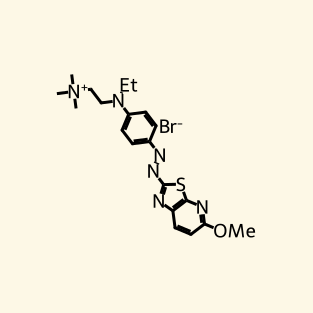 CCN(CC[N+](C)(C)C)c1ccc(N=Nc2nc3ccc(OC)nc3s2)cc1.[Br-]